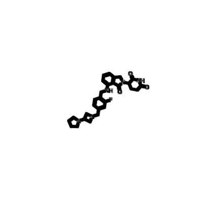 O=C1CCC(N2Cc3cccc(NCc4ccc(CN5CC(N6CCCC6)C5)cc4F)c3C2=O)C(=O)N1